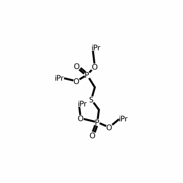 CC(C)OP(=O)(CSCP(=O)(OC(C)C)OC(C)C)OC(C)C